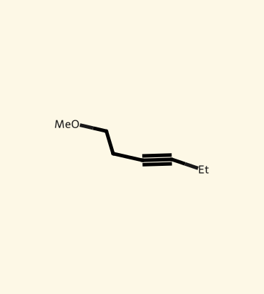 [CH2]CC#CCCOC